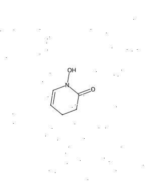 O=C1CCC=CN1O